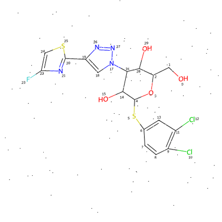 OCC1OC(Sc2ccc(Cl)c(Cl)c2)C(O)C(n2cc(-c3nc(F)cs3)nn2)C1O